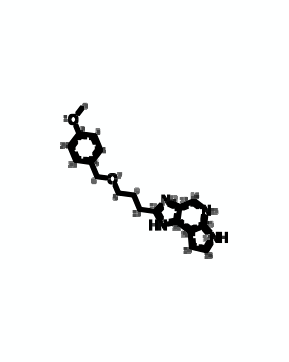 COc1ccc(COCCCc2nc3cnc4[nH]ccc4c3[nH]2)cc1